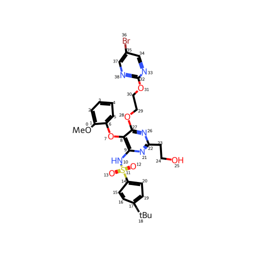 COc1ccccc1Oc1c(NS(=O)(=O)c2ccc(C(C)(C)C)cc2)nc(CCO)nc1OCCOc1ncc(Br)cn1